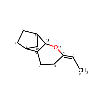 CC=C1CCC2C3CCC(C3)C2O1